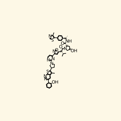 Cc1ncsc1-c1ccc([C@H](C)NC(=O)[C@@H]2C[C@@H](O)CN2C(=O)[C@@H](c2cc(-c3ccnc(N4CCC(c5sc6nnc(-c7ccccc7O)cc6c5C)C4)n3)no2)C(C)C)cc1